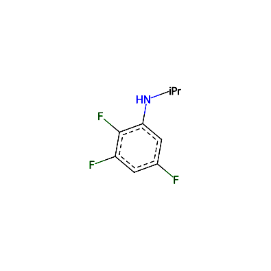 CC(C)Nc1cc(F)cc(F)c1F